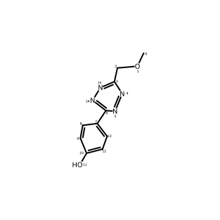 COCc1nnc(-c2ccc(O)cc2)nn1